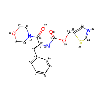 O=C([N][C@@H](Cc1ccccc1)C(=O)N1CCOCC1)OCc1cncs1